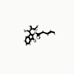 CCCCC(=O)NC1=C(C(Br)C(C)CC)c2ccccc2C1=O